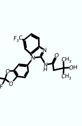 CC(C)(O)CC(=O)Nc1nc2ccc(C(F)(F)F)cc2n1-c1ccc2c(c1)OC(F)(F)O2